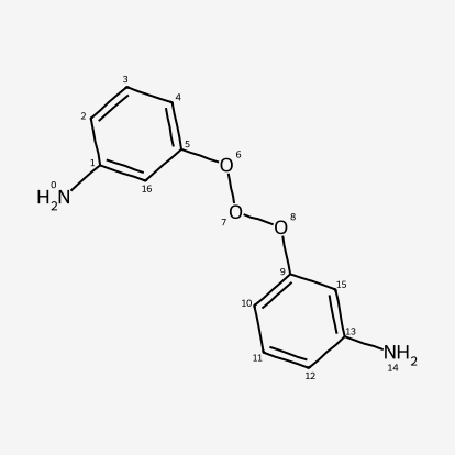 Nc1cccc(OOOc2cccc(N)c2)c1